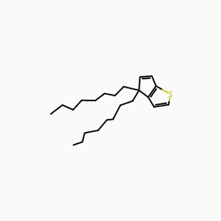 CCCCCCCCC1(CCCCCCCC)C=Cc2sccc21